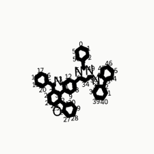 c1ccc(-c2nc(-c3ccc4c(c3)nc(-c3ccccc3)c3ccc5oc6ccccc6c5c34)cc(-n3c4ccccc4c4ccccc43)n2)cc1